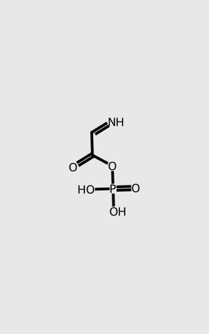 N=CC(=O)OP(=O)(O)O